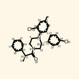 Cc1ccc(N2CCN(C(=O)[C@@H](C)c3ccccc3)C[C@H]2c2ccc(Cl)cc2)c(Cl)c1